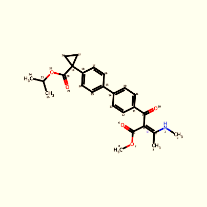 CN/C(C)=C(/C(=O)OC)C(=O)c1ccc(-c2ccc(C3(C(=O)OC(C)C)CC3)cc2)cc1